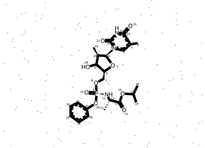 Cc1cn([C@H]2O[C@@H](CO[P@@](=O)(N[C@@H](C)C(=O)OC(C)C)Oc3ccccc3)C(O)[C@H]2C)c(=O)[nH]c1=O